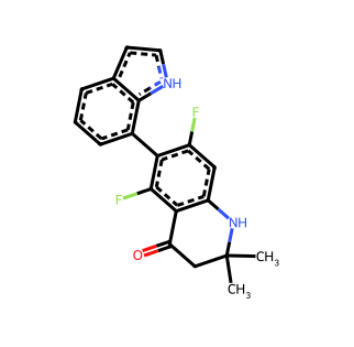 CC1(C)CC(=O)c2c(cc(F)c(-c3cccc4cc[nH]c34)c2F)N1